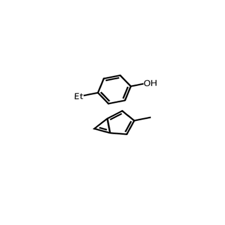 CCc1ccc(O)cc1.Cc1cc2cc-2c1